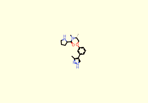 Cc1n[nH]cc1-c1c[c]cc(OC[C@@H](C)N(C)C(=O)C2CCCN2)c1